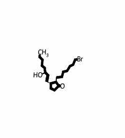 CCCCC[C@H](O)/C=C/[C@H]1CCC(=O)[C@@H]1CCCCCCCBr